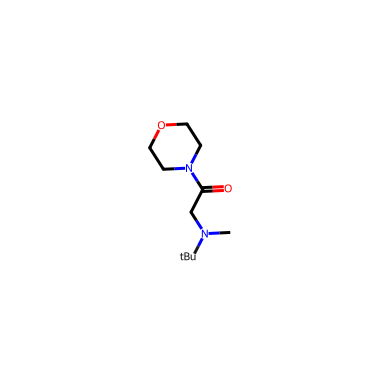 CN(CC(=O)N1CCOCC1)C(C)(C)C